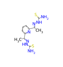 CC(=NNC(N)=S)c1cccc(C(C)=NNC(N)=S)n1